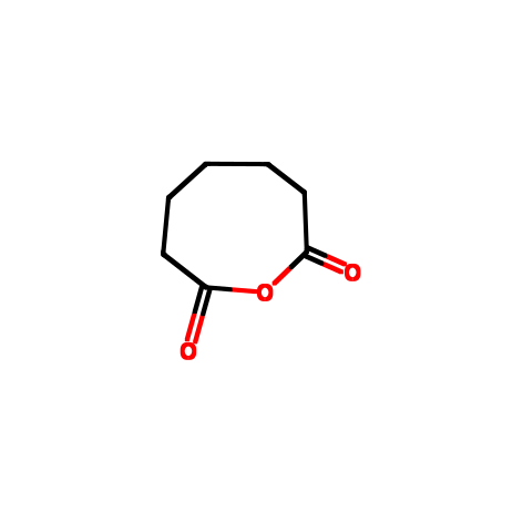 O=C1CCCCCC(=O)O1